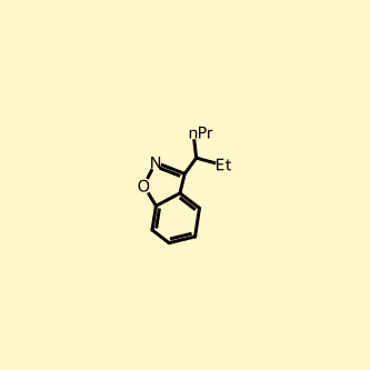 CCCC(CC)c1noc2ccccc12